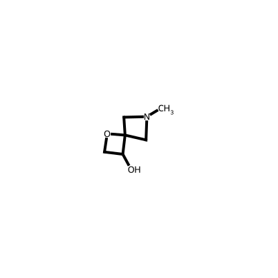 CN1CC2(C1)OCC2O